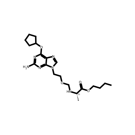 CCCCOC(=O)[C@H](C)NCOCCn1cnc2c(OC3CCCC3)nc(N)nc21